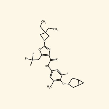 CCC1(CC)CN(c2nc(C(=O)Nc3cc(C)c(OC4CC5CC5C4)c(F)c3)c(CC(F)(F)F)o2)C1